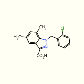 Cc1cc(C)c2c(c1)c(C(=O)O)nn2Cc1ccccc1Cl